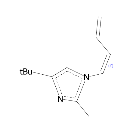 C=C/C=C\n1cc(C(C)(C)C)nc1C